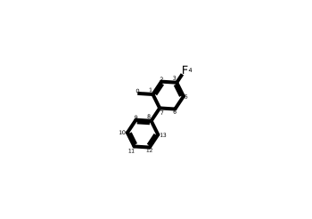 CC1=CC(F)=CCC1c1ccccc1